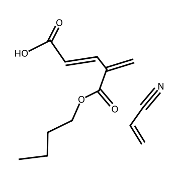 C=C(C=CC(=O)O)C(=O)OCCCC.C=CC#N